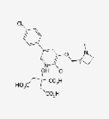 CN1CC[C@H]1COc1cc(-c2ccc(Cl)cc2)cnc1Cl.O=C(O)CC(O)(CC(=O)O)C(=O)O